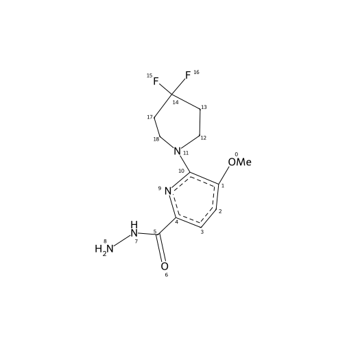 COc1ccc(C(=O)NN)nc1N1CCC(F)(F)CC1